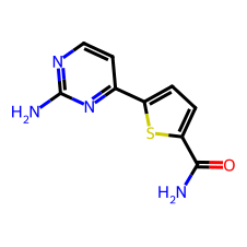 NC(=O)c1ccc(-c2ccnc(N)n2)s1